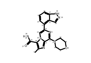 Cc1nc2c(N3CCOCC3)nc(-c3cccc4[nH]ncc34)cn2c1C(N)=O